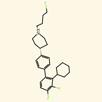 FCCCC[Si@H]1CC[C@H](c2ccc(-c3ccc(F)c(F)c3C3CCCCC3)cc2)CC1